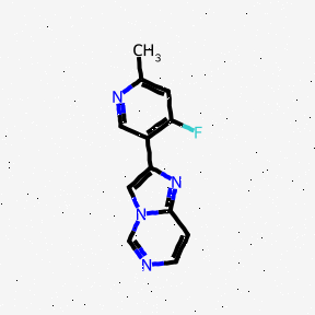 Cc1cc(F)c(-c2cn3cnccc3n2)cn1